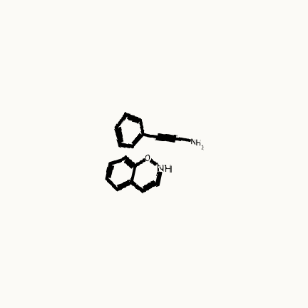 C1=Cc2ccccc2ON1.NC#Cc1ccccc1